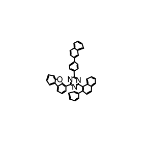 c1ccc(-c2ccc3ccccc3c2-c2nc(-c3ccc(-c4ccc5ccccc5c4)cc3)nc(-c3cccc4c3oc3ccccc34)n2)cc1